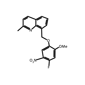 COc1cc(F)c([N+](=O)[O-])cc1OCc1cccc2ccc(C)nc12